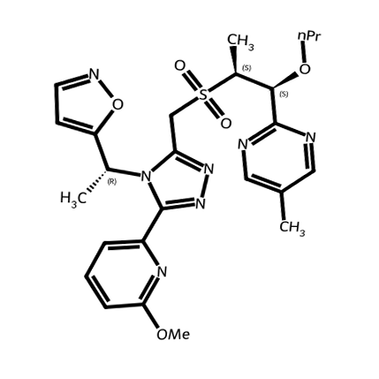 CCCO[C@@H](c1ncc(C)cn1)[C@H](C)S(=O)(=O)Cc1nnc(-c2cccc(OC)n2)n1[C@H](C)c1ccno1